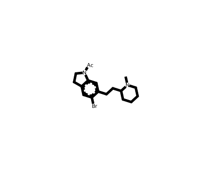 CC(=O)N1CCc2cc(Br)c(CCC3CCCCN3C)cc21